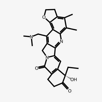 CC[C@@]1(O)C(=O)CCc2c1cc1n(c2=O)Cc2c-1nc1c(C)c(C)c3c(c1c2CN(C)C)OCC3